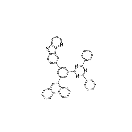 c1ccc(-c2nc(-c3ccccc3)nc(-c3cc(-c4ccc5sc6cccnc6c5c4)cc(-c4cc5ccccc5c5ccccc45)c3)n2)cc1